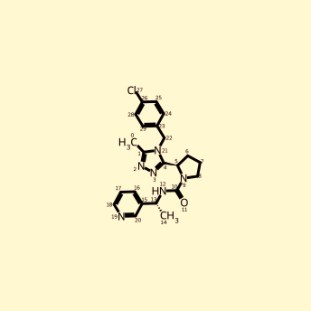 Cc1nnc([C@H]2CCCN2C(=O)N[C@H](C)c2cccnc2)n1Cc1ccc(Cl)cc1